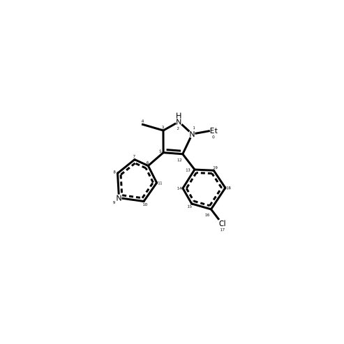 CCN1NC(C)C(c2ccncc2)=C1c1ccc(Cl)cc1